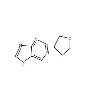 C1CCOC1.c1ncc2[nH]cnc2n1